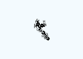 O=C1N=C(N2CCC(C(=O)NS(=O)(=O)N3CCCC3)CC2)SC1=C(Cc1ccc(C(F)(F)F)cc1C(F)(F)F)c1ccc2[nH]ncc2c1